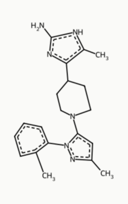 Cc1cc(N2CCC(c3nc(N)[nH]c3C)CC2)n(-c2ccccc2C)n1